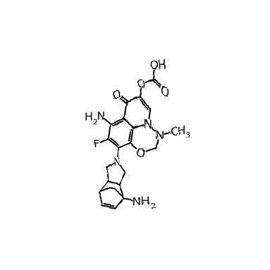 CN1COc2c(N3CC4C5C=CC(N)(CC5)C4C3)c(F)c(N)c3c(=O)c(OC(=O)O)cn1c23